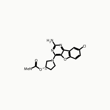 CNC(=O)O[C@H]1CCN(c2nc(N)nc3c2oc2ccc(Cl)cc23)C1